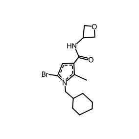 Cc1c(C(=O)NC2COC2)cc(Br)n1CC1CCCCC1